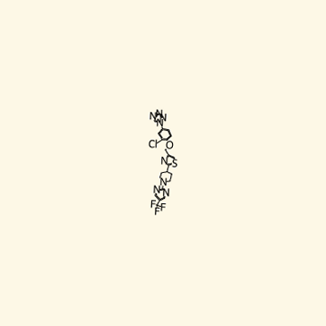 FC(F)(F)c1cnc(N2CCC(c3nc(COc4ccc(-n5cnnn5)cc4Cl)cs3)CC2)nc1